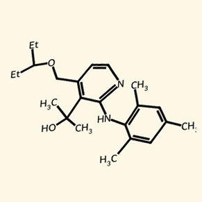 CCC(CC)OCc1ccnc(Nc2c(C)cc(C)cc2C)c1C(C)(C)O